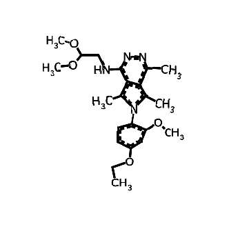 CCOc1ccc(-n2c(C)c3c(C)nnc(NCC(OC)OC)c3c2C)c(OC)c1